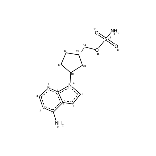 Nc1ncnc2c1ccn2C1CC[C@H](COS(N)(=O)=O)C1